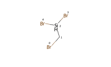 BrC[SiH](Br)Br